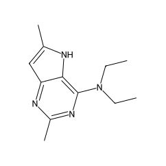 CCN(CC)c1nc(C)nc2cc(C)[nH]c12